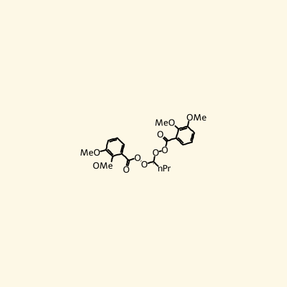 [CH2]CC[C](OOC(=O)c1cccc(OC)c1OC)OOC(=O)c1cccc(OC)c1OC